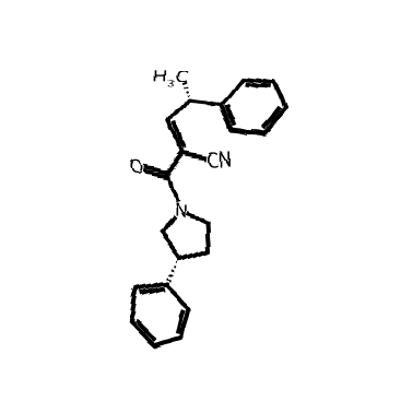 C[C@@H](/C=C(\C#N)C(=O)N1CC[C@H](c2ccccc2)C1)c1ccccc1